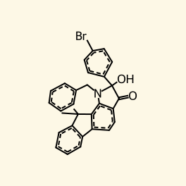 CC1(C)c2ccccc2-c2ccc3c(c21)N(Cc1ccccc1)C(O)(c1ccc(Br)cc1)C3=O